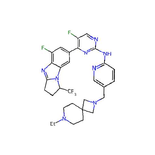 CCN1CCC2(CC1)CN(Cc1ccc(Nc3ncc(F)c(-c4cc(F)c5nc6n(c5c4)C(C(F)(F)F)CC6)n3)nc1)C2